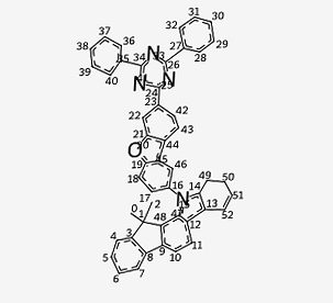 CC1(C)c2ccccc2-c2ccc3c4c(n(-c5ccc6oc7cc(-c8nc(-c9ccccc9)nc(-c9ccccc9)n8)ccc7c6c5)c3c21)CCC=C4